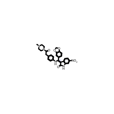 CN1CCN(C(=O)Cc2ccc(N/C(=C3\C(=O)Nc4cc([N+](=O)[O-])ccc43)c3ccc4c(c3)OCO4)cc2)CC1